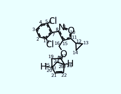 Clc1cccc(Cl)c1-c1noc(C2CC2)c1CO[C@H]1C[C@H]2C=C[C@@H]1C2